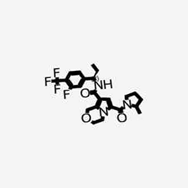 CC[C@@H](NC(=O)c1cc(C(=O)N2CCCC2C)n2c1COCC2)c1ccc(C(F)(F)F)c(F)c1